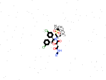 CC[C@@H](CS(=O)(=O)C(C)(C)C)N1C(=O)[C@H](CC(=O)NC#N)O[C@H](c2cccc(Cl)c2)[C@H]1c1ccc(Cl)cc1